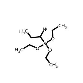 CCO[Si](OCC)(OCC)C([N])CC